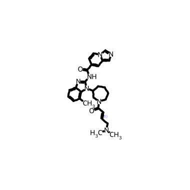 Cc1cccc2nc(NC(=O)c3ccn4cncc4c3)n(C3CCCCN(C(=O)/C=C/CN(C)C)C3)c12